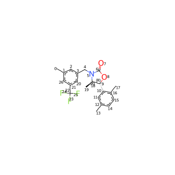 Cc1cc(CN2C(=O)O[C@H](c3cc(C)ccc3C)[C@H]2C)cc(C(F)(F)F)c1